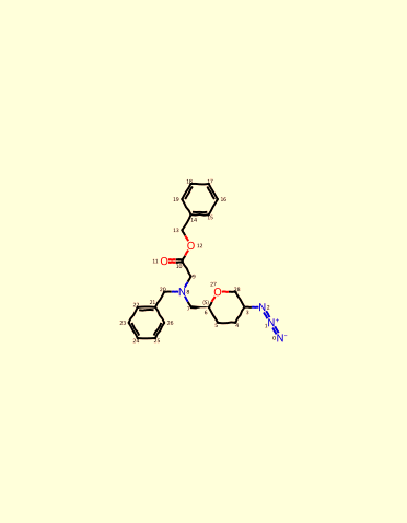 [N-]=[N+]=NC1CC[C@@H](CN(CC(=O)OCc2ccccc2)Cc2ccccc2)OC1